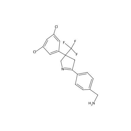 NCc1ccc(C2=NCC(c3cc(Cl)cc(Cl)c3)(C(F)(F)F)C2)cc1